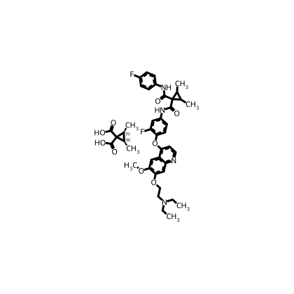 CCN(CC)CCOc1cc2nccc(Oc3ccc(NC(=O)C4(C(=O)Nc5ccc(F)cc5)C(C)C4C)cc3F)c2cc1OC.C[C@@H]1[C@H](C)C1(C(=O)O)C(=O)O